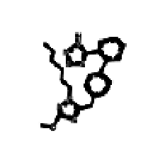 CCCCCCn1nc(OC)nc1Cc1ccc(-c2ccccc2-c2nnn[nH]2)cc1